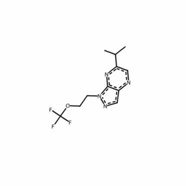 CC(C)c1cnc2cnn(CCOC(F)(F)F)c2n1